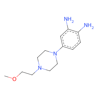 COCCN1CCN(c2ccc(N)c(N)c2)CC1